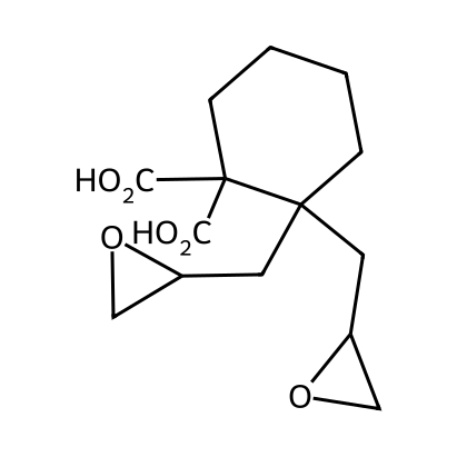 O=C(O)C1(C(=O)O)CCCCC1(CC1CO1)CC1CO1